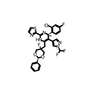 Fc1ccc([C@@H]2N=C(c3nccs3)NC(C[C@]3(F)CO[C@@H](c4ccccc4)OC3)=C2c2cnn(C(F)F)c2)c(Cl)c1